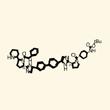 CC(C)(C)OC(=O)N[C@H]1CC[C@@H](C(=O)N2CCC[C@H]2c2ncc(-c3ccc(-c4ccc(-c5cnc([C@@H]6CCC(C7CCCCN7)N6C(=O)Cc6ccccc6)[nH]5)cc4)cc3)[nH]2)CC1